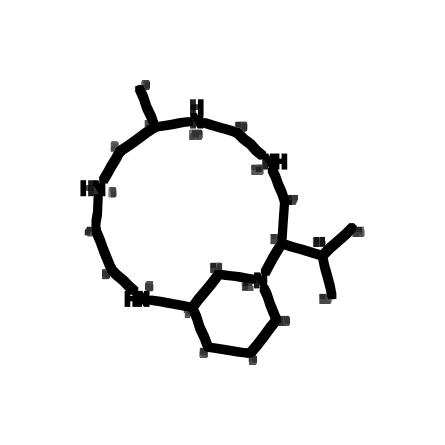 CC1CNCCNC2CCCN(C2)C(C(C)C)CNCN1